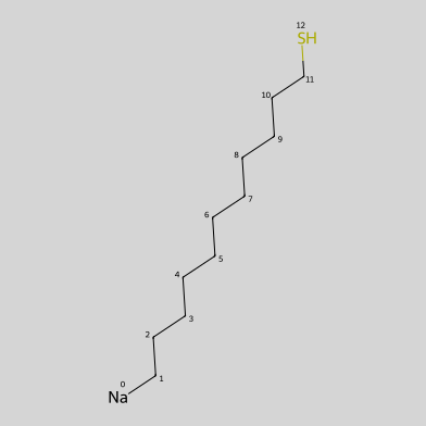 [Na][CH2]CCCCCCCCCCS